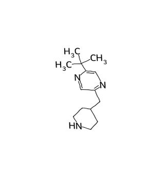 CC(C)(C)c1cnc(CC2CCNCC2)cn1